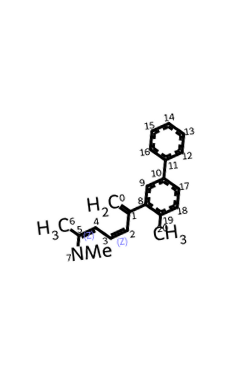 C=C(/C=C\C=C(\C)NC)c1cc(-c2ccccc2)ccc1C